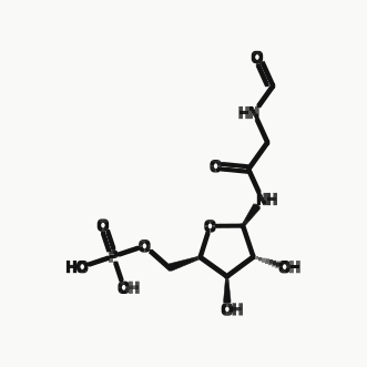 O=CNCC(=O)N[C@@H]1O[C@H](COP(=O)(O)O)[C@H](O)[C@H]1O